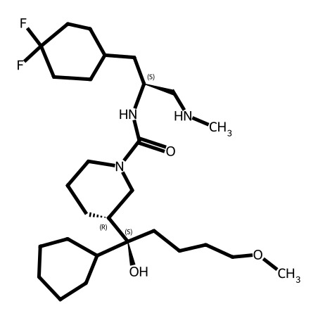 CNC[C@H](CC1CCC(F)(F)CC1)NC(=O)N1CCC[C@@H]([C@](O)(CCCCOC)C2CCCCC2)C1